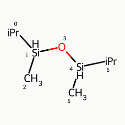 CC(C)[SiH](C)O[SiH](C)C(C)C